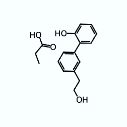 CCC(=O)O.OCCc1cccc(-c2ccccc2O)c1